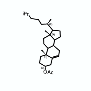 CC(=O)O[C@H]1CC[C@@]2(C)C(=CCC3C4CCC([C@H](C)CCCC(C)C)[C@@]4(C)CCC32)C1